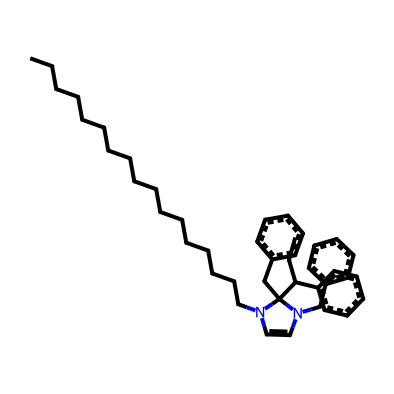 CCCCCCCCCCCCCCCCCN1C=CN(Cc2ccccc2)C1(Cc1ccccc1)C(CC)c1ccccc1